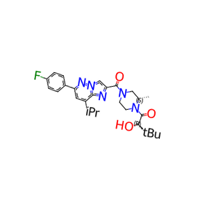 CC(C)c1cc(-c2ccc(F)cc2)nn2cc(C(=O)N3CCN(C(=O)[C@H](O)C(C)(C)C)[C@@H](C)C3)nc12